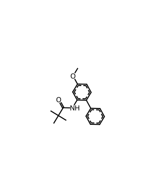 COc1ccc(-c2ccccc2)c(NC(=O)C(C)(C)C)c1